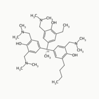 CCCCc1cc([C@](C)(c2cc(CC)c(O)c(CN(C)C)c2)c2cc(CN(C)C)c(O)c(CN(C)C)c2)cc(CN(C)C)c1O